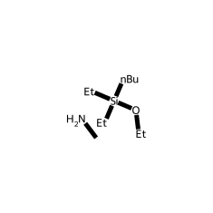 CCCC[Si](CC)(CC)OCC.CN